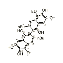 CCCCc1cc2c(CC)c(O)c(O)cc2c(O)c1-c1c(CCCC)cc2c(CC)c(O)c(O)cc2c1O